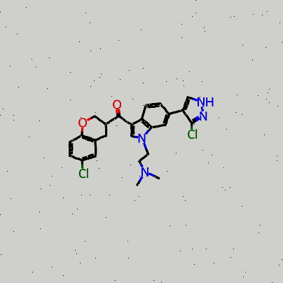 CN(C)CCn1cc(C(=O)C2COc3ccc(Cl)cc3C2)c2ccc(-c3c[nH]nc3Cl)cc21